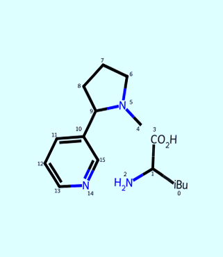 CCC(C)C(N)C(=O)O.CN1CCCC1c1cccnc1